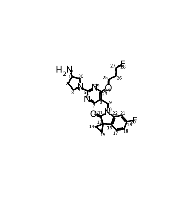 NC1CCN(c2ncc(CN3C(=O)C4(CC4)c4ccc(F)cc43)c(OCCCF)n2)C1